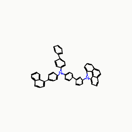 c1ccc(-c2ccc(N(c3ccc(-c4cccc(-n5c6cccc7ccc8cccc5c8c76)c4)cc3)c3ccc(-c4cccc5ccccc45)cc3)cc2)cc1